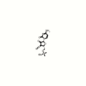 CC(C)(C)[Si](C)(C)OC[C@H]1O[C@@H](n2ccc(N)nc2=O)C(=O)C1=[N+]=[N-]